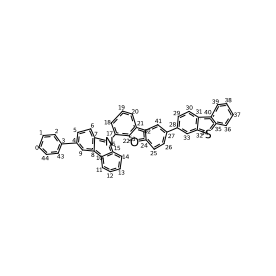 c1ccc(-c2ccc3c(c2)c2ccccc2n3-c2cccc3c2oc2ccc(-c4ccc5c(c4)sc4ccccc45)cc23)cc1